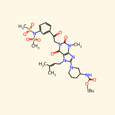 CC(C)=CCn1c(N2CCCC(NC(=O)OC(C)(C)C)C2)nc2c1c(=O)n(CC(=O)c1cccc(N(S(C)(=O)=O)S(C)(=O)=O)c1)c(=O)n2C